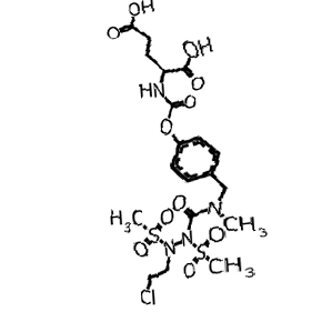 CN(Cc1ccc(OC(=O)N[C@@H](CCC(=O)O)C(=O)O)cc1)C(=O)N(N(CCCl)S(C)(=O)=O)S(C)(=O)=O